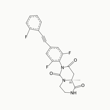 C[C@@]12CC(=O)N(c3c(F)cc(C#Cc4ccccc4F)cc3F)C(=O)N1CCNC2=O